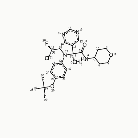 C[C@@](C(=O)NC1CCOCC1)(c1cncnc1)N(C[C@H](F)Cl)c1ccc(OC(F)(F)F)cc1